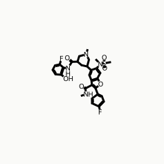 CNC(=O)c1c(-c2ccc(F)cc2)oc2cc(N(C)S(C)(=O)=O)c(C3CC(C(=O)Nc4c(O)cccc4F)CN(C)C3)cc12